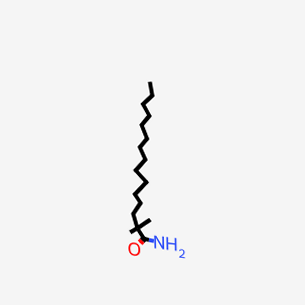 CCCCCCCCCCCCCC(C)(C)C(N)=O